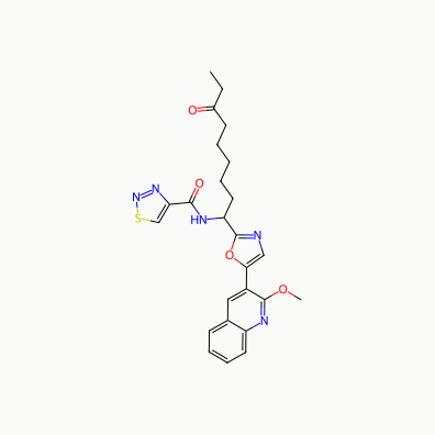 CCC(=O)CCCCCC(NC(=O)c1csnn1)c1ncc(-c2cc3ccccc3nc2OC)o1